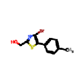 Cc1ccc(-c2sc(CO)nc2Br)cc1